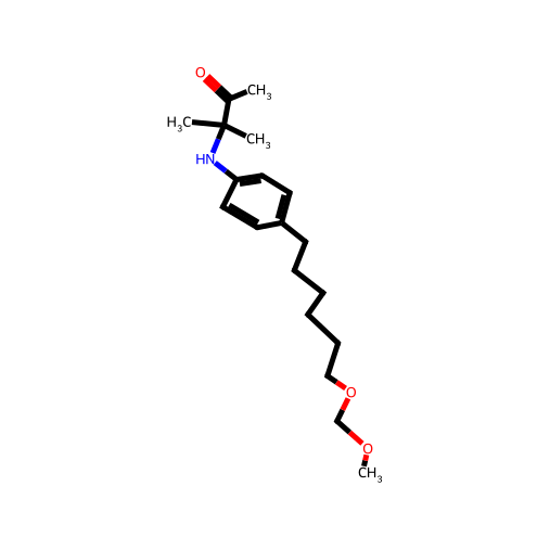 COCOCCCCCCc1ccc(NC(C)(C)C(C)=O)cc1